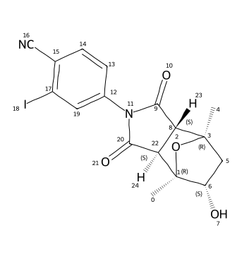 C[C@]12O[C@](C)(C[C@@H]1O)[C@H]1C(=O)N(c3ccc(C#N)c(I)c3)C(=O)[C@@H]12